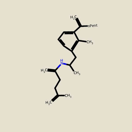 C=C(C)CCC(=C)NC(C)Cc1cccc(C(=C)CCCCC)c1C